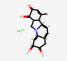 CC1=CC(=O)C(=O)C2CN3C4=CC(=O)C(=O)CC4=CC=C3C12.Cl